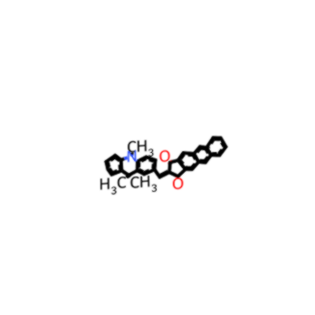 CN1c2ccccc2C(C)(C)c2cc(C=C3C(=O)c4cc5cc6ccccc6cc5cc4C3=O)ccc21